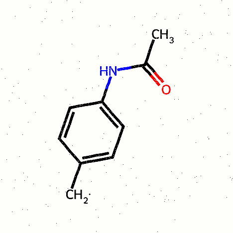 [CH2]c1ccc(NC(C)=O)cc1